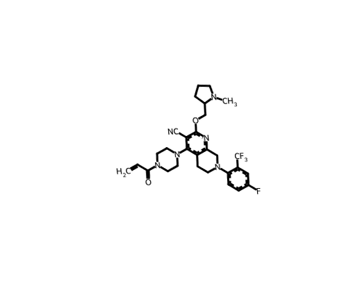 C=CC(=O)N1CCN(c2c(C#N)c(OCC3CCCN3C)nc3c2CCN(c2ccc(F)cc2C(F)(F)F)C3)CC1